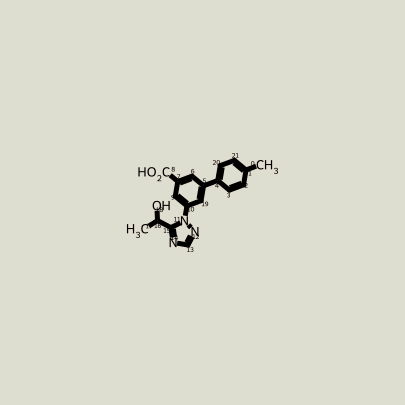 Cc1ccc(-c2cc(C(=O)O)cc(-n3ncnc3C(C)O)c2)cc1